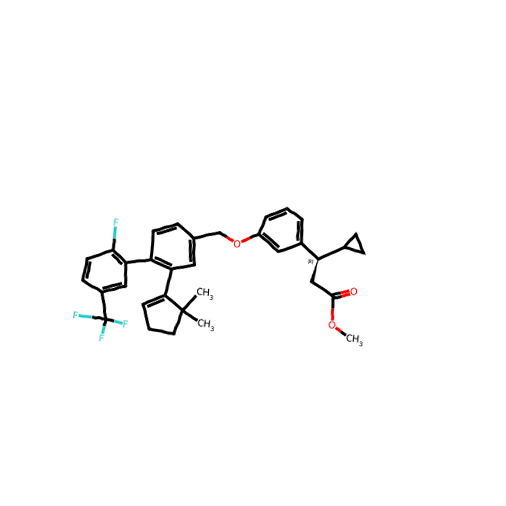 COC(=O)C[C@@H](c1cccc(OCc2ccc(-c3cc(C(F)(F)F)ccc3F)c(C3=CCCC3(C)C)c2)c1)C1CC1